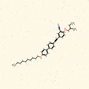 CCCCCCCCCCOc1ccc(-c2ccc(C#Cc3ccc(OCC(C)CC)c(C#N)c3)cc2)cc1